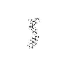 O=C(CO[C@H]1CC[C@H](Nc2ccc([N+](=O)[O-])c(C(F)(F)F)c2)CC1)N1CCN(c2ccccc2)C(=O)C1